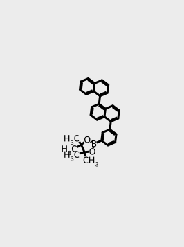 CC1(C)OB(c2cccc(-c3cccc4c(-c5cccc6ccccc56)cccc34)c2)OC1(C)C